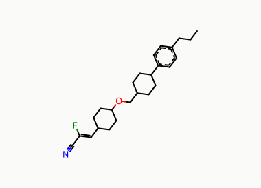 CCCc1ccc(C2CCC(COC3CCC(C=C(F)C#N)CC3)CC2)cc1